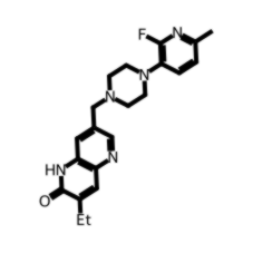 CCc1cc2ncc(CN3CCN(c4ccc(C)nc4F)CC3)cc2[nH]c1=O